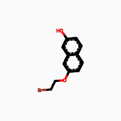 Oc1ccc2ccc(OCCBr)cc2c1